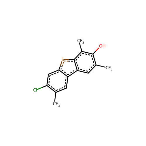 Oc1c(C(F)(F)F)cc2c(sc3cc(Cl)c(C(F)(F)F)cc32)c1C(F)(F)F